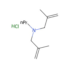 C=C(C)CN(CCC)CC(=C)C.Cl